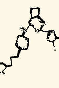 O=C(O)CCCc1ccc(Nc2nc(-c3ccc(Cl)s3)nc3c2CCC3)cc1